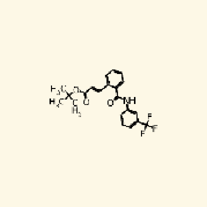 CC(C)(C)OC(=O)C=Cc1ccccc1C(=O)Nc1cccc(C(F)(F)F)c1